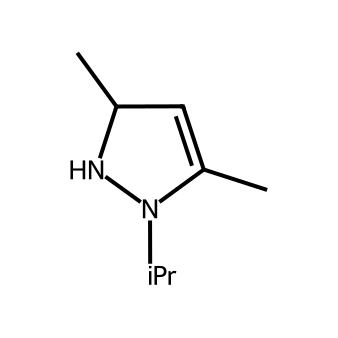 CC1=CC(C)NN1C(C)C